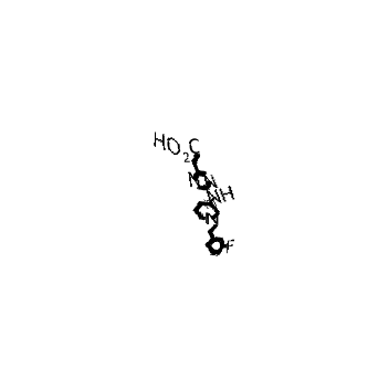 O=C(O)C=Cc1cnc(N[C@@H]2CCCN(CCc3cccc(F)c3)C2)cn1